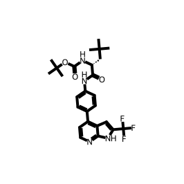 CC(C)(C)C[C@@H](NC(=O)OC(C)(C)C)C(=O)Nc1ccc(-c2ccnc3[nH]c(C(F)(F)F)cc23)cc1